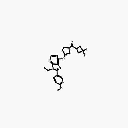 CCn1c(-c2ccc(OC)nc2)nc2c(O[C@H]3CCN(C(=O)C4CC(F)(F)C4)C3)ncnc21